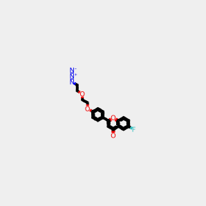 [N-]=[N+]=NCCOCCOc1ccc(-c2cc(=O)c3cc(F)ccc3o2)cc1